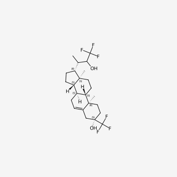 CC(C(O)C(F)(F)F)[C@H]1CC[C@H]2[C@@H]3CC=C4C[C@](O)(C(F)(F)F)CC[C@]4(C)[C@H]3CC[C@]12C